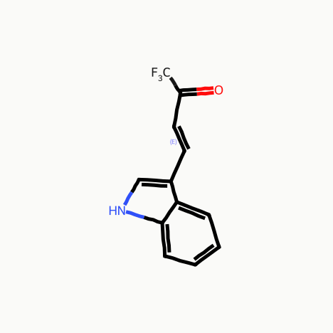 O=C(/C=C/c1c[nH]c2ccccc12)C(F)(F)F